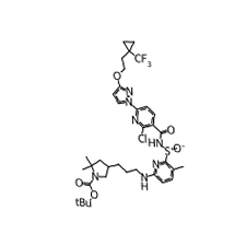 Cc1ccc(NCCCC2CN(C(=O)OC(C)(C)C)C(C)(C)C2)nc1[S+]([O-])NC(=O)c1ccc(-n2ccc(OCCC3(C(F)(F)F)CC3)n2)nc1Cl